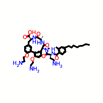 CCCCCCCCc1ccc(C(=O)N[C@@H](CCN)C(=O)N(C)[C@@H]2C(=O)N[C@@H](C)C(=O)N[C@H](C(=O)O)Cc3ccc(OCCN)c(c3)-c3cc2ccc3OCCN)c(C)c1